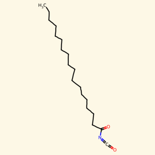 CCCCCCCCCCCCCCCCCC(=O)N=C=O